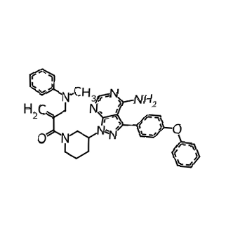 C=C(CN(C)c1ccccc1)C(=O)N1CCCC(n2nc(-c3ccc(Oc4ccccc4)cc3)c3c(N)ncnc32)C1